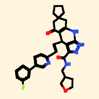 O=C1CC2(CCCC2)CC2=C1C(/C=C/c1ccc(-c3cccc(F)c3)cn1)c1c(C(=O)NCC3CCOC3)n[nH]c1N2